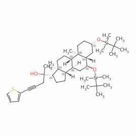 CC(O)(CC#Cc1cccs1)[C@H]1CC[C@H]2[C@@H]3C[C@H](O[Si](C)(C)C(C)(C)C)[C@H]4C[C@@H](O[Si](C)(C)C(C)(C)C)CC[C@]4(C)[C@H]3CC[C@]12C